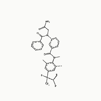 Cc1cc(C(F)(C(F)F)C(F)(F)F)cc(C)c1N(C)C(=O)c1cccc(N(CC(N)=O)C(=O)c2ccccc2)c1